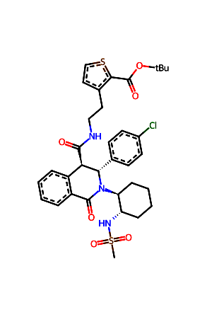 CC(C)(C)OC(=O)c1sccc1CCNC(=O)[C@@H]1c2ccccc2C(=O)N([C@H]2CCCC[C@@H]2NS(C)(=O)=O)[C@H]1c1ccc(Cl)cc1